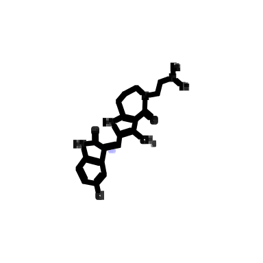 CCN(CC)CCN1CCCc2[nH]c(/C=C3\C(=O)Nc4ccc(Cl)cc43)c(C)c2C1=O